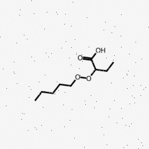 CCCCCOOC(CC)C(=O)O